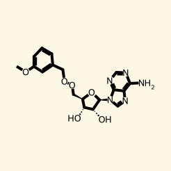 COc1cccc(COOC[C@H]2O[C@@H](n3cnc4c(N)ncnc43)[C@H](O)[C@@H]2O)c1